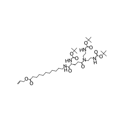 C=CCOC(=O)CCCCCCCCCCNC(=O)[C@H](CCC(=O)N(CCNC(=O)OC(C)(C)C)CCNC(=O)OC(C)(C)C)NC(=O)OC(C)(C)C